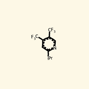 CC(C)c1cc(C(F)(F)F)c(C(F)(F)F)cn1